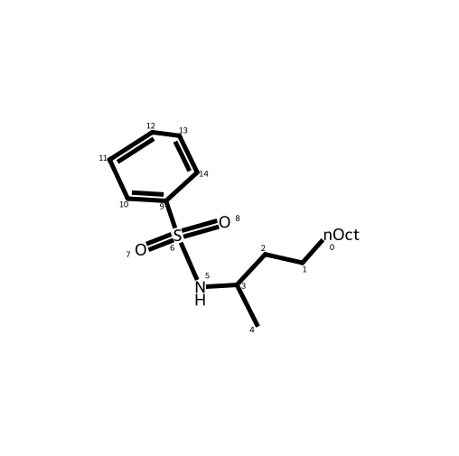 CCCCCCCCCCC(C)NS(=O)(=O)c1ccccc1